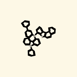 c1ccc(-c2cccc(N(c3cccc4c3sc3ccc5ccccc5c34)c3cccc4c3c3ccccc3n4-c3ccccc3)c2)cc1